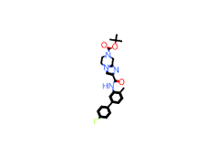 Cc1ccc(-c2ccc(F)cc2)cc1NC(=O)c1cn2c(n1)CN(C(=O)OC(C)(C)C)CC2